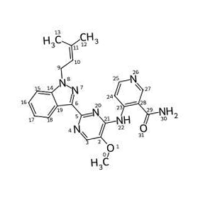 COc1cnc(-c2nn(CC=C(C)C)c3ccccc23)nc1Nc1ccncc1C(N)=O